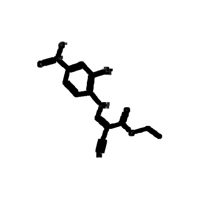 CCOC(=O)C(C#N)=CNc1ccc([N+](=O)[O-])cc1Br